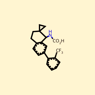 O=C(O)NC1c2cc(-c3ccccc3C(F)(F)F)ccc2CCC12CC2